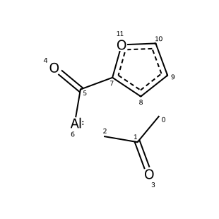 CC(C)=O.O=[C]([Al])c1ccco1